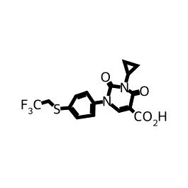 O=C(O)c1cn(-c2ccc(SCC(F)(F)F)cc2)c(=O)n(C2CC2)c1=O